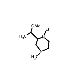 CCN1CCN(C)CC1C(C)OC